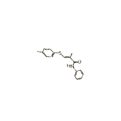 C/C(=C\Sc1ccc(C)cc1)C(=O)Nc1ccccc1